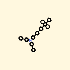 c1ccc(-c2ccc(N(c3ccc(-c4ccccc4)cc3)c3ccc(-c4ccc(-c5ccc(-c6c7c(c(-c8ccccc8)c8c6CCCC8)CCCC7)cc5)cc4)cc3)cc2)cc1